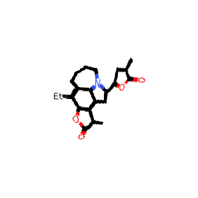 CCC1C2CCCCN3C(C4CC(C)C(=O)O4)CC(C4C(C)C(=O)OC14)C23